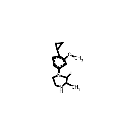 COc1cc(N2CCNC(C)C2I)ccc1C1CC1